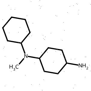 CN(C1CCCCC1)C1CCC(N)CC1